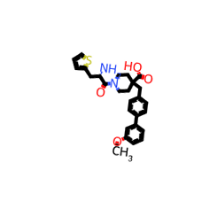 COc1cccc(-c2ccc(CC3(C(=O)O)CCN(C(=O)[C@@H](N)Cc4cccs4)CC3)cc2)c1